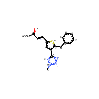 COC(=O)/C=C/c1cc(-c2nnn(C)n2)c(Cc2ccccc2)s1